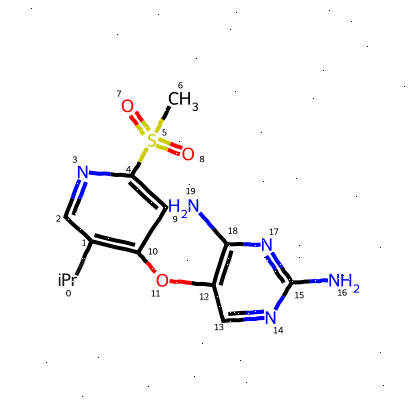 CC(C)c1cnc(S(C)(=O)=O)cc1Oc1cnc(N)nc1N